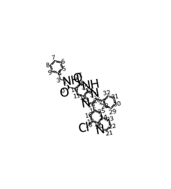 O=C(NCc1ccccc1)c1cc2nc(-c3cc(Cl)c4ncccc4c3)c(-c3ccccc3)nc2[nH]c1=O